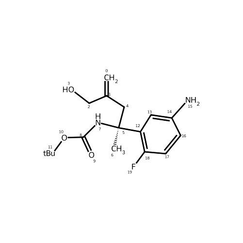 C=C(CO)C[C@](C)(NC(=O)OC(C)(C)C)c1cc(N)ccc1F